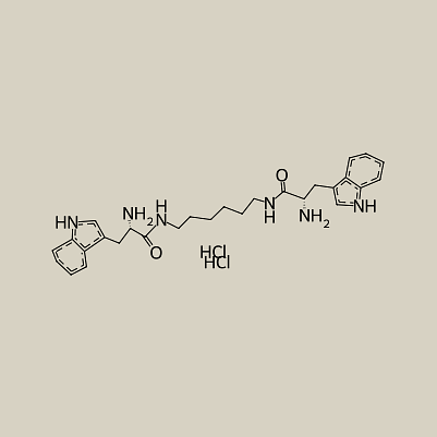 Cl.Cl.N[C@@H](Cc1c[nH]c2ccccc12)C(=O)NCCCCCCNC(=O)[C@@H](N)Cc1c[nH]c2ccccc12